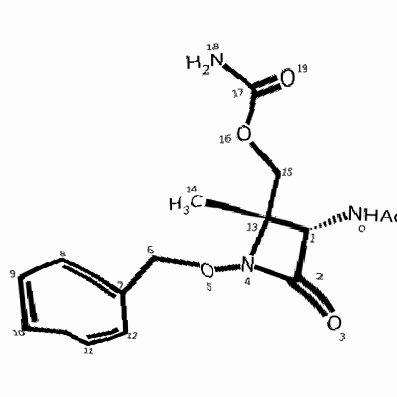 CC(=O)N[C@@H]1C(=O)N(OCc2ccccc2)[C@]1(C)COC(N)=O